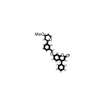 COC1CCOC(c2cccc(COc3ccc4c(-c5ccccc5)cc(=O)oc4c3)c2)C1